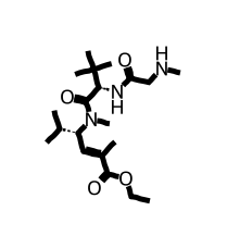 CCOC(=O)/C(C)=C/[C@H](C(C)C)N(C)C(=O)[C@@H](NC(=O)CNC)C(C)(C)C